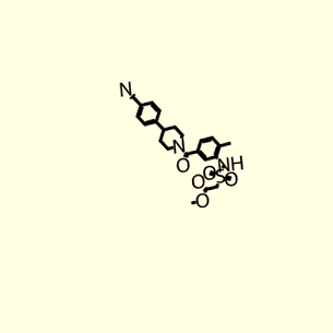 COC(=O)CS(=O)(=O)Nc1cc(C(=O)N2CCC(c3ccc(C#N)cc3)CC2)ccc1C